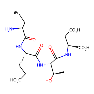 CC(C)C[C@H](N)C(=O)N[C@@H](CCC(=O)O)C(=O)N[C@H](C(=O)N[C@@H](CC(=O)O)C(=O)O)[C@@H](C)O